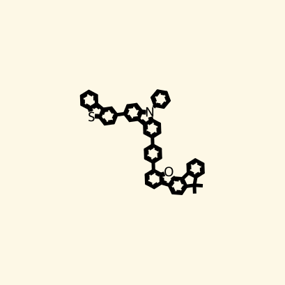 CC1(C)c2ccccc2-c2c1ccc1c2oc2c(-c3ccc(-c4ccc5c(c4)c4cc(-c6ccc7sc8ccccc8c7c6)ccc4n5-c4ccccc4)cc3)cccc21